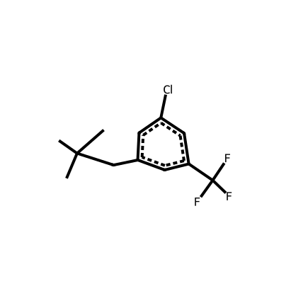 CC(C)(C)Cc1cc(Cl)cc(C(F)(F)F)c1